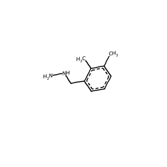 Cc1cccc(CNN)c1C